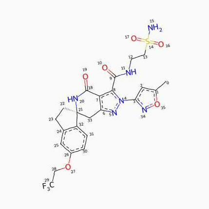 Cc1cc(-n2nc3c(c2C(=O)NCCS(N)(=O)=O)C(=O)N[C@@]2(CCc4cc(OCC(F)(F)F)ccc42)C3)no1